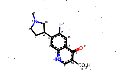 CN1CCC(c2cc3[nH]cc(C(=O)O)c(=O)c3cc2I)C1